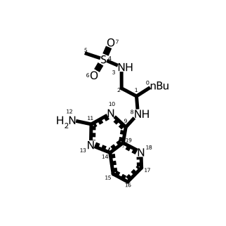 CCCCC(CNS(C)(=O)=O)Nc1nc(N)nc2cccnc12